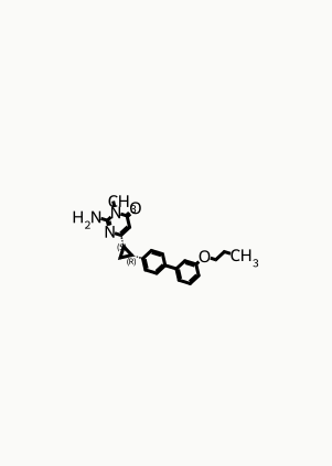 CCCOc1cccc(-c2ccc([C@@H]3C[C@@H]3c3cc(=O)n(C)c(N)n3)cc2)c1